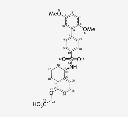 COc1ccc(OC)c(-c2ccc(S(=O)(=O)N[C@@H]3CCCc4c(OCC(=O)O)cccc43)cc2)c1